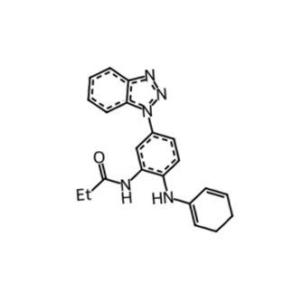 CCC(=O)Nc1cc(-n2nnc3ccccc32)ccc1NC1=CCCC=C1